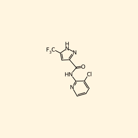 O=C(Nc1ncccc1Cl)c1cc(C(F)(F)F)[nH]n1